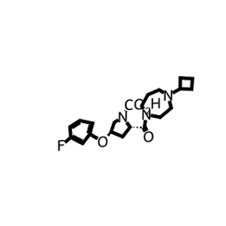 O=C([C@@H]1C[C@@H](Oc2cccc(F)c2)CN1C(=O)O)N1CCCN(C2CCC2)CC1